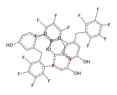 Oc1ccc(OB(Oc2ccc(O)cc2Cc2c(F)c(F)c(F)c(F)c2F)Oc2ccc(O)cc2Cc2c(F)c(F)c(F)c(F)c2F)c(Cc2c(F)c(F)c(F)c(F)c2F)c1